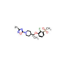 CC(C)c1noc(N2CCC([C@@H](C)Oc3c[c]cc(S(C)(=O)=O)c3F)CC2)n1